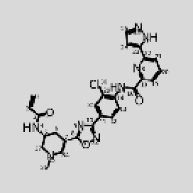 C=CC(=O)N[C@H]1C[C@@H](c2nc(-c3ccc(NC(=O)c4cccc(-c5ccn[nH]5)n4)c(Cl)c3)no2)CN(C)C1